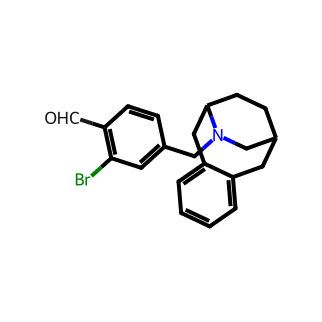 O=Cc1ccc(CN2CC3CCC2Cc2ccccc2C3)cc1Br